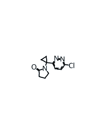 O=C1CCCN1C1(c2ccc(Cl)nn2)CC1